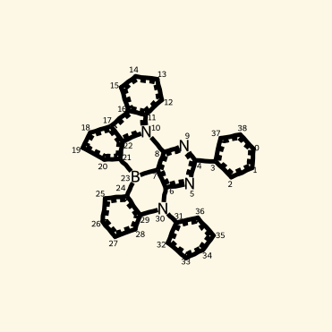 c1ccc(-c2nc3c4c(n2)-n2c5ccccc5c5cccc(c52)B4c2ccccc2N3c2ccccc2)cc1